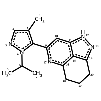 Cc1cnn(C(C)C)c1-c1cc2[nH]nc3c2c(n1)CCC3